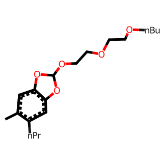 CCCCOCCOCCOC1Oc2cc(C)c(CCC)cc2O1